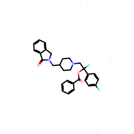 O=C(OC(F)(CN1CCC(CN2Cc3ccccc3C2=O)CC1)c1ccc(F)cc1)c1ccccc1